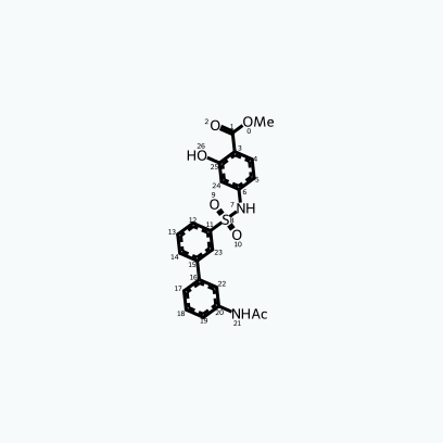 COC(=O)c1ccc(NS(=O)(=O)c2cccc(-c3cccc(NC(C)=O)c3)c2)cc1O